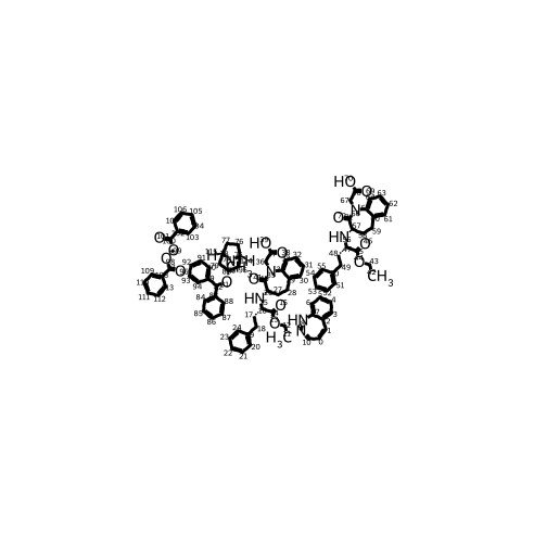 C1=Cc2ccccc2NN=C1.CCOC(=O)[C@H](CCc1ccccc1)N[C@H]1CCc2ccccc2N(CC(=O)O)C1=O.CCOC(=O)[C@H](CCc1ccccc1)N[C@H]1CCc2ccccc2N(CC(=O)O)C1=O.CN1[C@@H]2CC[C@H]1C[C@@H](OC(c1ccccc1)c1ccccc1)C2.O=C(OOC(=O)c1ccccc1)c1ccccc1